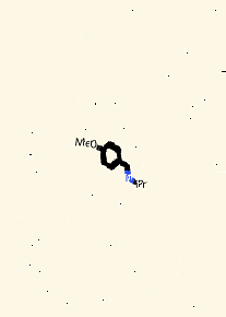 COc1ccc(C=NC(C)C)cc1